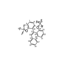 FC(F)(F)Oc1ccccc1C(=Cc1ccccc1)c1ccccc1OC(F)(F)F